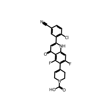 N#Cc1ccc(Cl)c(-c2cc(=O)c3c(F)c(C4=CCN(C(=O)O)CC4)c(F)cc3[nH]2)c1